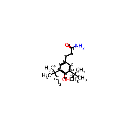 CC(C)(C)c1cc(CCC(N)=O)cc(C(C)(C)C)c1O